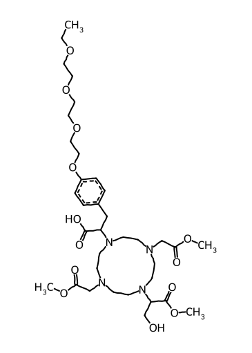 CCOCCOCCOCCOc1ccc(CC(C(=O)O)N2CCN(CC(=O)OC)CCN(C(CO)C(=O)OC)CCN(CC(=O)OC)CC2)cc1